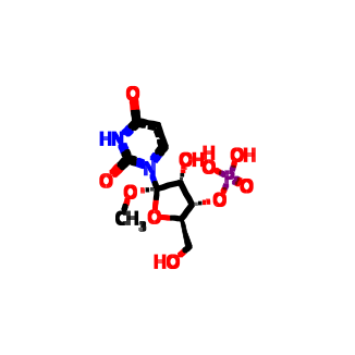 CO[C@@]1(n2ccc(=O)[nH]c2=O)O[C@H](CO)[C@@H](OP(=O)(O)O)[C@H]1O